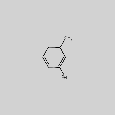 [2H]c1cccc(C)c1